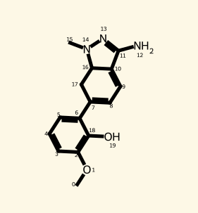 COc1cccc(C2=CC=C3C(N)=NN(C)C3C2)c1O